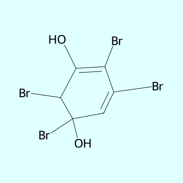 OC1=C(Br)C(Br)=CC(O)(Br)C1Br